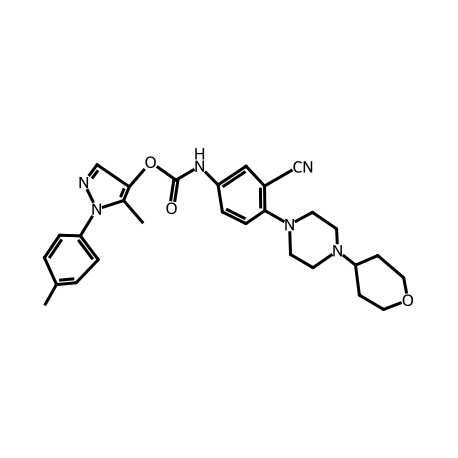 Cc1ccc(-n2ncc(OC(=O)Nc3ccc(N4CCN(C5CCOCC5)CC4)c(C#N)c3)c2C)cc1